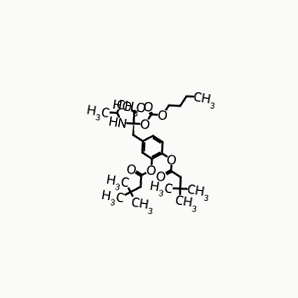 CCCCOC(=O)O[C@](Cc1ccc(OC(=O)CC(C)(C)C)c(OC(=O)CC(C)(C)C)c1)(NC(C)C)C(=O)O